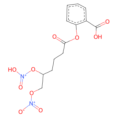 O=C(CCCC(CO[N+](=O)[O-])O[N+](=O)O)Oc1ccccc1C(=O)O